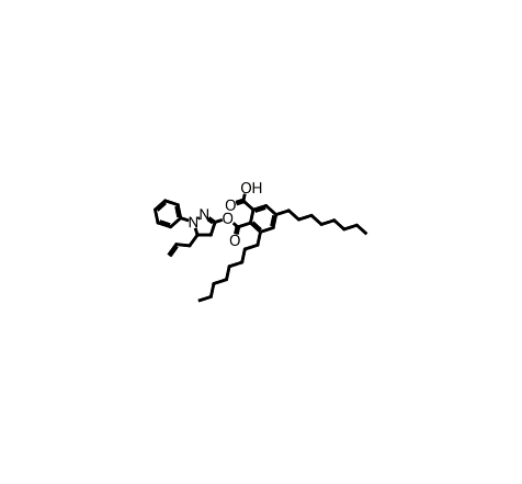 C=CCC1CC(OC(=O)c2c(CCCCCCCC)cc(CCCCCCCC)cc2C(=O)O)=NN1c1ccccc1